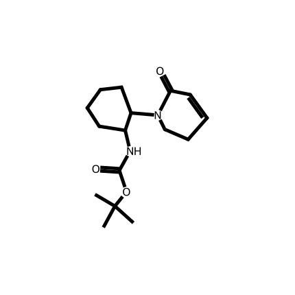 CC(C)(C)OC(=O)NC1CCCCC1N1CCC=CC1=O